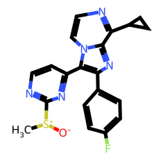 C[S+]([O-])c1nccc(-c2c(-c3ccc(F)cc3)nc3c(C4CC4)nccn23)n1